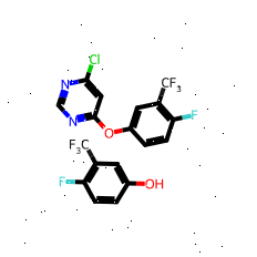 Fc1ccc(Oc2cc(Cl)ncn2)cc1C(F)(F)F.Oc1ccc(F)c(C(F)(F)F)c1